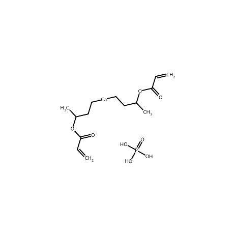 C=CC(=O)OC(C)C[CH2][Ca][CH2]CC(C)OC(=O)C=C.O=P(O)(O)O